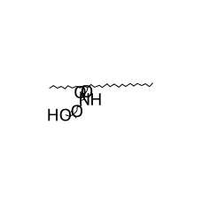 CCCCCCCCCCCCCCCCCC(CCCCCCCCCC)OC(=O)NCCCOC(C)(C)CO